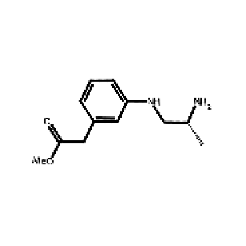 COC(=O)Cc1cccc(NC[C@@H](C)N)c1